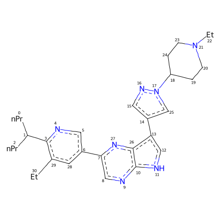 CCCC(CCC)c1ncc(-c2cnc3[nH]cc(-c4cnn(C5CCN(CC)CC5)c4)c3n2)cc1CC